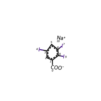 O=C([O-])c1cc(I)cc(I)c1I.[Na+]